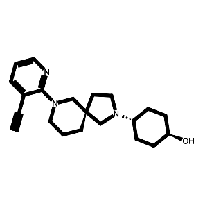 C#Cc1cccnc1N1CCC[C@]2(CCN([C@H]3CC[C@H](O)CC3)C2)C1